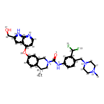 CC[C@H]1CN(C(=O)Nc2ccc(CN3CCN(C)CC3)c(C(F)F)c2)Cc2cc(Oc3ccnc4[nH]c(CO)cc34)ccc21